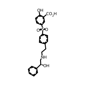 O=C(O)c1cc(S(=O)(=O)c2ccc(CCNC[C@@H](O)c3ccccc3)cc2)ccc1O